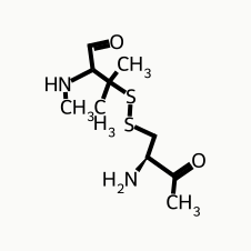 CNC(C=O)C(C)(C)SSC[C@H](N)C(C)=O